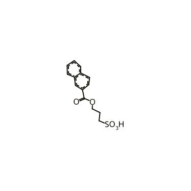 O=C(OCCCS(=O)(=O)O)c1ccc2ccccc2c1